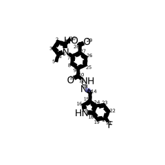 Cc1ccc(C)n1-c1cc(C(=O)N/N=C/c2c[nH]c3cc(F)ccc23)ccc1C(=O)O